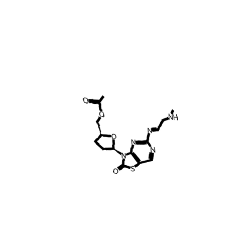 CNC/C=N/c1ncc2sc(=O)n([C@H]3CC[C@@H](COC(C)=O)O3)c2n1